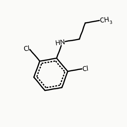 CCCNc1c(Cl)cccc1Cl